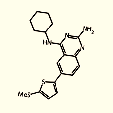 CSc1ccc(-c2ccc3nc(N)nc(NC4CCCCC4)c3c2)s1